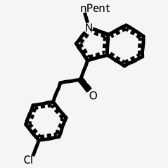 CCCCCn1cc(C(=O)Cc2ccc(Cl)cc2)c2ccccc21